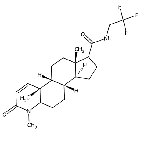 CN1C(=O)C=C[C@@]2(C)C1CC[C@@H]1[C@H]2CC[C@]2(C)C(C(=O)NCC(F)(F)F)CC[C@@H]12